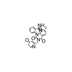 NC(=O)c1ccccc1-n1c(=O)n(CC2=CC(=O)CC=N2)c(=O)c2cccnc21